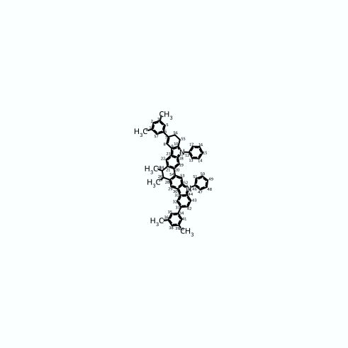 Cc1cc(C)cc(C2=Cc3c(n(-c4ccccc4)c4cc5c(cc34)C(C)C(C)c3cc4c6cc(-c7cc(C)cc(C)c7)ccc6n(-c6ccccc6)c4cc3-5)CC2)c1